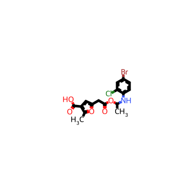 Cc1oc(CC(=O)OC(C)Nc2ccc(Br)cc2Cl)cc1C(=O)O